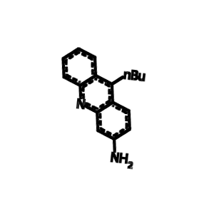 CCCCc1c2ccccc2nc2cc(N)ccc12